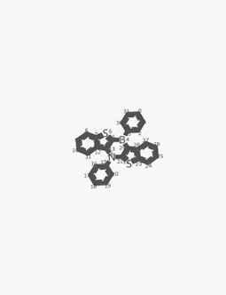 c1ccc(B2c3sc4ccccc4c3N(c3ccccc3)c3sc4ccccc4c32)cc1